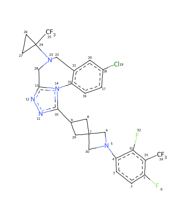 Fc1ccc(N2CC3(CC(c4nnc5n4-c4ccc(Cl)cc4CN(C4(C(F)(F)F)CC4)C5)C3)C2)c(F)c1C(F)(F)F